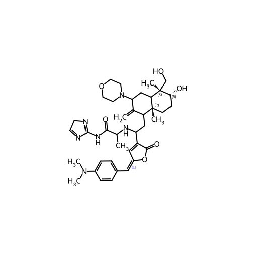 C=C1C(N2CCOCC2)CC2[C@](C)(CC[C@@H](O)[C@@]2(C)CO)C1CC(NC(C)C(=O)NC1=NCC=N1)C1=C/C(=C\c2ccc(N(C)C)cc2)OC1=O